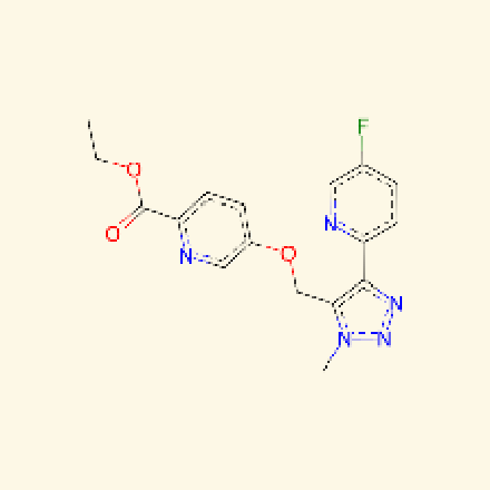 CCOC(=O)c1ccc(OCc2c(-c3ccc(F)cn3)nnn2C)cn1